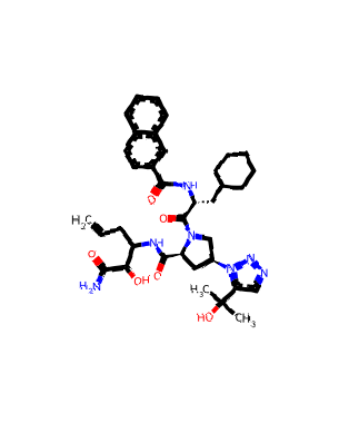 C=CCC(NC(=O)[C@@H]1C[C@H](n2nncc2C(C)(C)O)CN1C(=O)[C@@H](CC1CCCCC1)NC(=O)c1ccc2ccccc2c1)C(O)C(N)=O